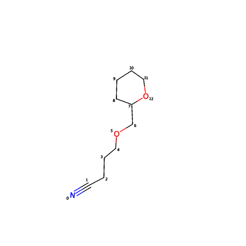 N#CCCCOCC1CCCCO1